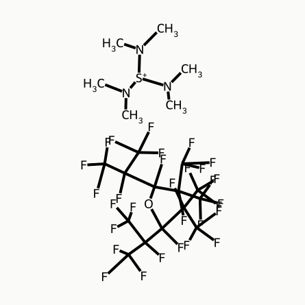 CN(C)[S+](N(C)C)N(C)C.FC(F)(F)C(F)(C(F)(F)F)C(F)(OC(F)(C(F)(C(F)(F)F)C(F)(F)F)C(F)(C(F)(F)F)C(F)(F)F)C(F)(C(F)(F)F)C(F)(F)F